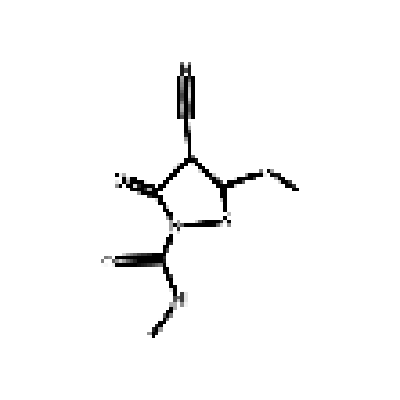 CNC(=O)N1SC(SC)C(C#N)C1=O